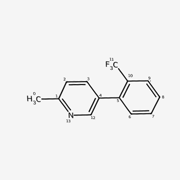 Cc1ccc(-c2ccc[c]c2C(F)(F)F)cn1